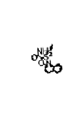 C=CCSC(Oc1ccc2ccccc2n1)C(N)=O